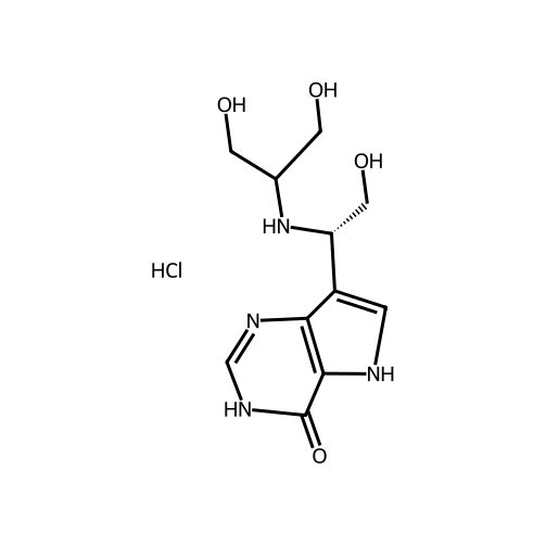 Cl.O=c1[nH]cnc2c([C@@H](CO)NC(CO)CO)c[nH]c12